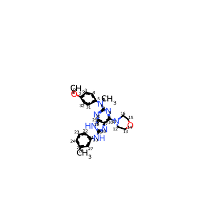 COc1ccc(N(C)c2nc(N3CCOCC3)c3nc(Nc4cccc(C)c4)[nH]c3n2)cc1